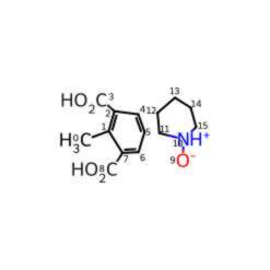 Cc1c(C(=O)O)cccc1C(=O)O.[O-][NH+]1CCCCC1